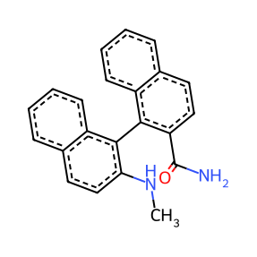 CNc1ccc2ccccc2c1-c1c(C(N)=O)ccc2ccccc12